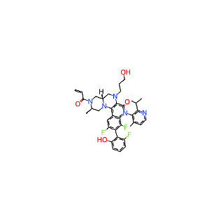 C=CC(=O)N1C[C@@H]2CN(CCCO)c3c(c4cc(F)c(-c5c(O)cccc5F)c(F)c4n(-c4c(C)ccnc4C(C)C)c3=O)N2C[C@H]1C